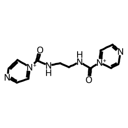 O=C(NCCNC(=O)[n+]1ccncc1)[n+]1ccncc1